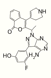 CC(c1oc(=O)c2ccccc2c1C1=CCNCC1)n1nc(-c2cc(O)cc(F)c2)c2c(N)ncnc21